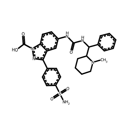 CN1CCCCC1C(NC(=O)Nc1ccc2c(c1)c(-c1ccc(S(N)(=O)=O)cc1)nn2C(=O)O)c1ccccc1